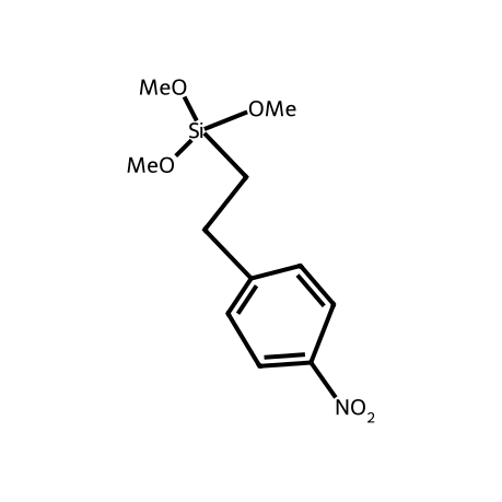 CO[Si](CCc1ccc([N+](=O)[O-])cc1)(OC)OC